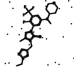 CCn1cc(Cn2c(C)cn(-c3cc(N(C)C4CCOCC4)cc(C(F)(F)F)c3F)c2=O)cn1